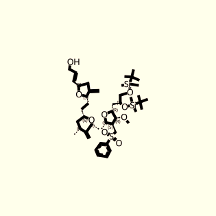 C=C1C[C@H](C=CCO)O[C@H]1CC[C@H]1C[C@@H](C)C(=C)[C@@H](C[C@@H]2O[C@H](C[C@@H](CO[Si](C)(C)C(C)(C)C)O[Si](C)(C)C(C)(C)C)[C@H](OC)[C@H]2CS(=O)(=O)c2ccccc2)O1